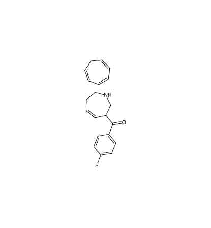 C1=CC=CCC=C1.O=C(c1ccc(F)cc1)C1C=CCCNC1